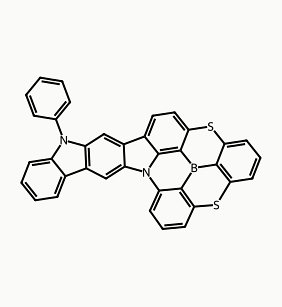 c1ccc(-n2c3ccccc3c3cc4c(cc32)c2ccc3c5c2n4-c2cccc4c2B5c2c(cccc2S3)S4)cc1